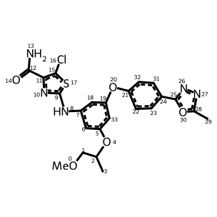 COCC(C)Oc1cc(Nc2nc(C(N)=O)c(Cl)s2)cc(Oc2ccc(-c3nnc(C)o3)cc2)c1